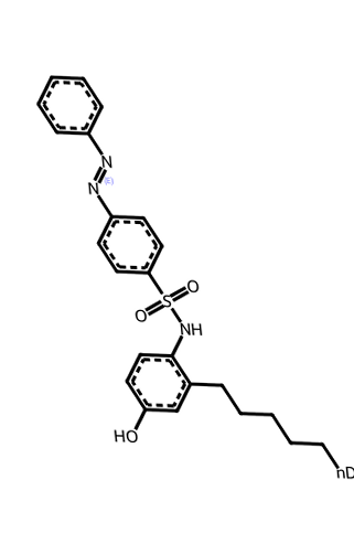 CCCCCCCCCCCCCCCc1cc(O)ccc1NS(=O)(=O)c1ccc(/N=N/c2ccccc2)cc1